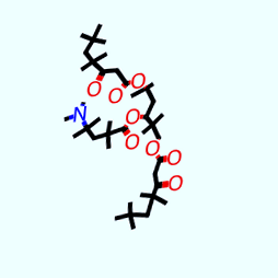 CN(C)C(C)(C)CC(C)(C)C(=O)OC(CC(C)(C)OC(=O)CC(=O)C(C)(C)CC(C)(C)C)C(C)(C)COC(=O)CC(=O)C(C)(C)CC(C)(C)C